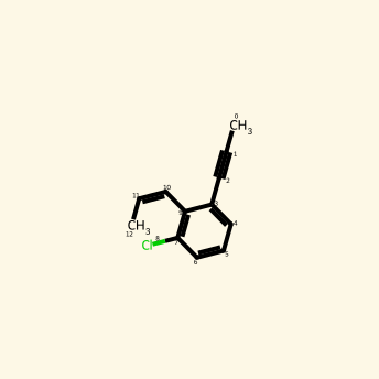 CC#Cc1cccc(Cl)c1/C=C\C